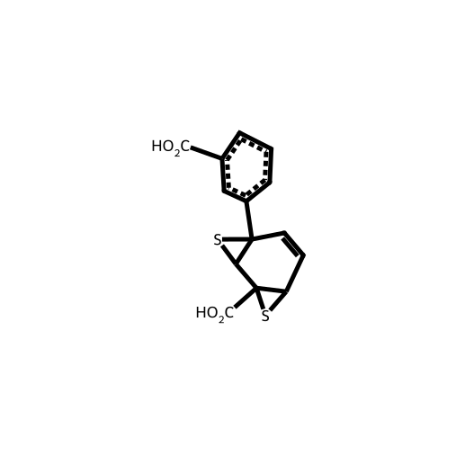 O=C(O)c1cccc(C23C=CC4SC4(C(=O)O)C2S3)c1